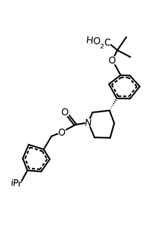 CC(C)c1ccc(COC(=O)N2CCC[C@@H](c3cccc(OC(C)(C)C(=O)O)c3)C2)cc1